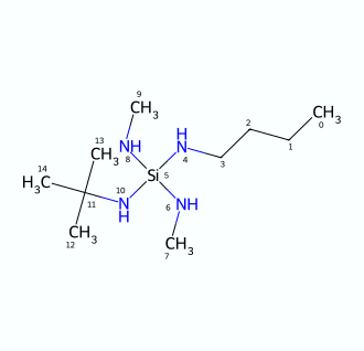 CCCCN[Si](NC)(NC)NC(C)(C)C